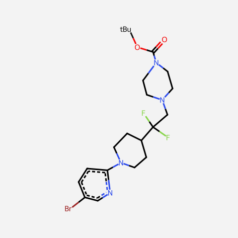 CC(C)(C)OC(=O)N1CCN(CC(F)(F)C2CCN(c3ccc(Br)cn3)CC2)CC1